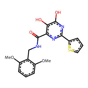 COc1cccc(OC)c1CNC(=O)c1nc(-c2cccs2)nc(O)c1O